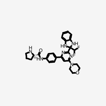 O=C(Nc1ccc(-c2cc(N3CCOCC3)nc(C3(C(F)F)Nc4ccccc4N3)n2)cc1)[C@@H]1CCCN1